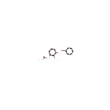 CCCCc1c(NC(=O)CCC)cccc1OCc1ccccc1